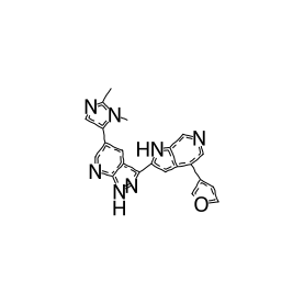 Cc1ncc(-c2cnc3[nH]nc(-c4cc5c(-c6ccoc6)cncc5[nH]4)c3c2)n1C